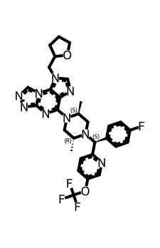 C[C@@H]1CN(c2nc3nncn3c3c2ncn3CC2CCCO2)[C@@H](C)CN1[C@@H](c1ccc(F)cc1)c1ccc(OC(F)(F)F)cn1